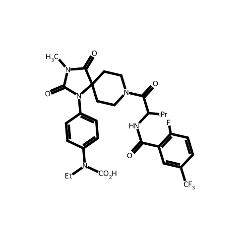 CCN(C(=O)O)c1ccc(N2C(=O)N(C)C(=O)C23CCN(C(=O)C(NC(=O)c2cc(C(F)(F)F)ccc2F)C(C)C)CC3)cc1